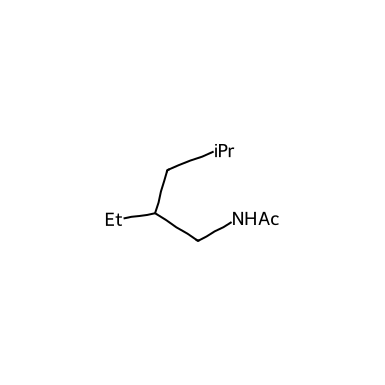 CCC(CNC(C)=O)CC(C)C